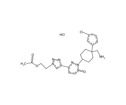 CC(=O)OCCn1cc(-c2ccc(=O)n(C3CCC(CN)(c4cccc(Cl)c4)CC3)n2)nn1.Cl